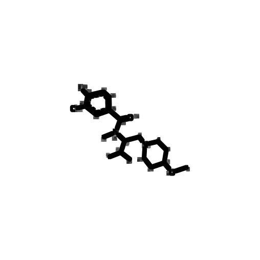 COC1CCN(CC(C(C)C)N(C)C(=O)c2ccc(F)c(Cl)c2)CC1